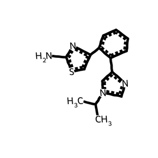 CC(C)n1cnc(-c2ccccc2-c2csc(N)n2)c1